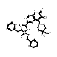 COC1(C)CCN(c2c(C#N)c(=O)[nH]c3cnc(C(C)OP(=O)(OCc4ccccc4)OCc4ccccc4)cc23)CC1